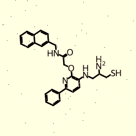 NC(CS)CNc1ccc(-c2ccccc2)nc1OCC(=O)NCc1ccc2ccccc2c1